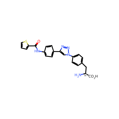 N[C@@H](Cc1ccc(-n2cc(-c3ccc(NC(=O)c4cccs4)cc3)nn2)cc1)C(=O)O